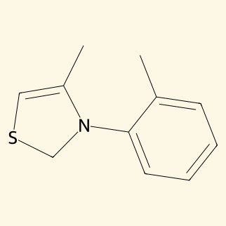 CC1=CSCN1c1ccccc1C